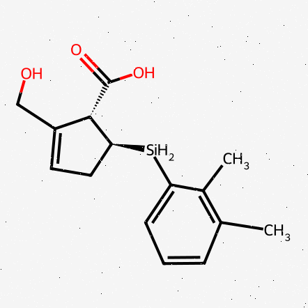 Cc1cccc([SiH2][C@H]2CC=C(CO)[C@@H]2C(=O)O)c1C